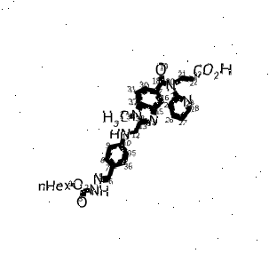 CCCCCCOC(=O)NN=Cc1ccc(NCc2nc3cc(C(=O)N(CCC(=O)O)c4ccccn4)ccc3n2C)cc1